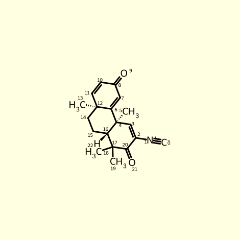 [C-]#[N+]C1=C[C@]2(C)C3=CC(=O)C=C[C@]3(C)CC[C@H]2C(C)(C)C1=O